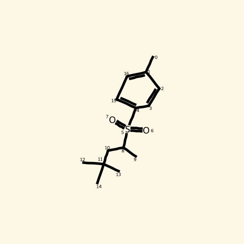 Cc1ccc(S(=O)(=O)C(C)CC(C)(C)C)cc1